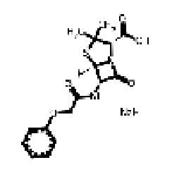 CC1(C)S[C@@H]2[C@H](NC(=O)COc3ccccc3)C(=O)N2[C@H]1C(=O)O.[NaH]